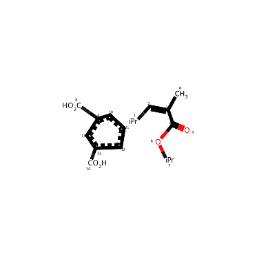 CC(=CC(C)C)C(=O)OC(C)C.O=C(O)c1cccc(C(=O)O)c1